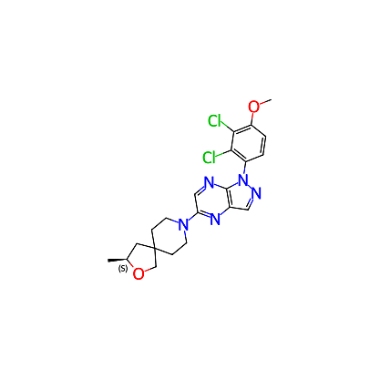 COc1ccc(-n2ncc3nc(N4CCC5(CC4)CO[C@@H](C)C5)cnc32)c(Cl)c1Cl